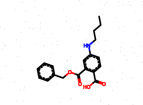 CCCCNc1ccc(C(=O)O)c(C(=O)OCc2ccccc2)c1